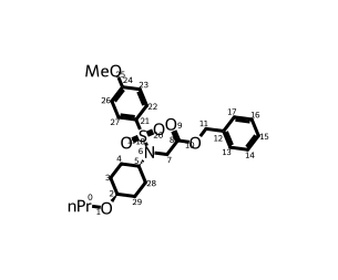 CCCO[C@H]1CC[C@H](N(CC(=O)OCc2ccccc2)S(=O)(=O)c2ccc(OC)cc2)CC1